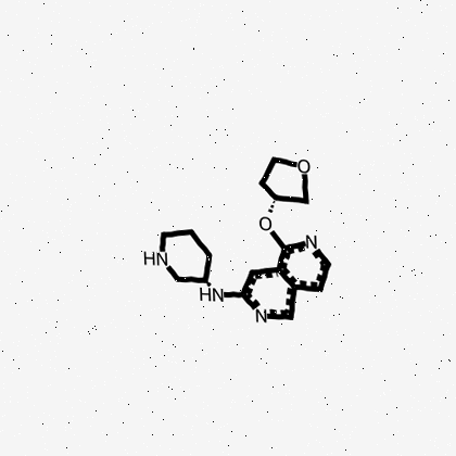 c1cc2cnc(N[C@H]3CCCNC3)cc2c(O[C@@H]2CCOC2)n1